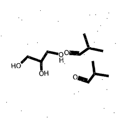 CC(C)C=O.CC(C)C=O.OCC(O)CO